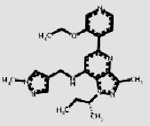 CCOc1cnccc1-c1cc(NCc2cnn(C)c2)c2c(n1)c(C)nn2[C@H](C)CC